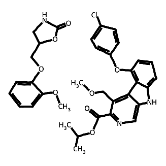 COCc1c(C(=O)OC(C)C)ncc2[nH]c3cccc(Oc4ccc(Cl)cc4)c3c12.COc1ccccc1OCC1CNC(=O)O1